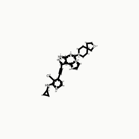 Clc1c(C#Cc2n[nH]c3nc(N4CCC5(CCOC5)CC4)n4ccnc4c23)ccnc1NC1CC1